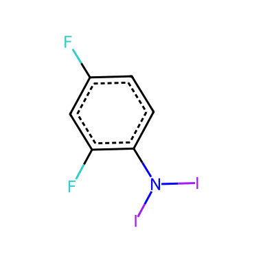 Fc1ccc(N(I)I)c(F)c1